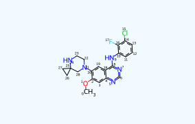 COc1cc2ncnc(Nc3cccc(Cl)c3F)c2cc1N1CCNC2(CC2)C1